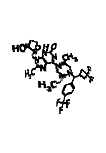 CC[C@@H]1CN(c2nc(=O)[nH]c3c2nc(C)n3C[C@H]2OCC[C@@H]2O)[C@@H](C)CN1C(c1ccc(C(F)(F)F)cc1)C1CC(F)(F)C1